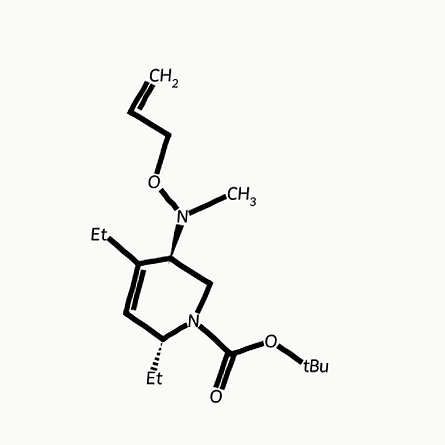 C=CCON(C)[C@H]1CN(C(=O)OC(C)(C)C)[C@H](CC)C=C1CC